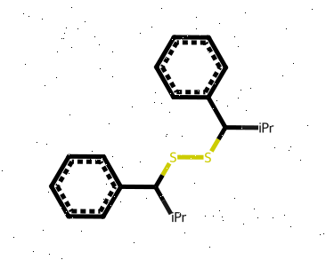 CC(C)C(SSC(c1ccccc1)C(C)C)c1ccccc1